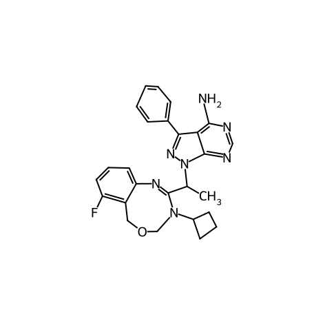 CC(/C1=N/c2cccc(F)c2COCN1C1CCC1)n1nc(-c2ccccc2)c2c(N)ncnc21